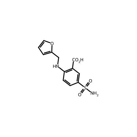 NS(=O)(=O)c1ccc(NCc2ccco2)c(C(=O)O)c1